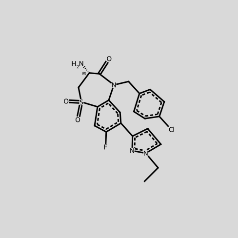 CCn1ccc(-c2cc3c(cc2F)S(=O)(=O)C[C@H](N)C(=O)N3Cc2ccc(Cl)cc2)n1